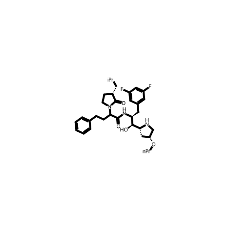 CCCO[C@H]1CN[C@@H]([C@@H](O)[C@H](Cc2cc(F)cc(F)c2)NC(=O)C(CCc2ccccc2)N2CC[C@H](CC(C)C)C2=O)C1